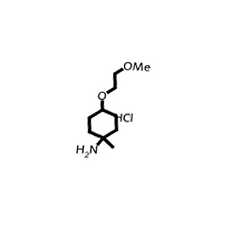 COCCOC1CCC(C)(N)CC1.Cl